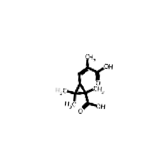 CC(=CC1C(C)(C)C1(C)C(=O)O)C(=O)O